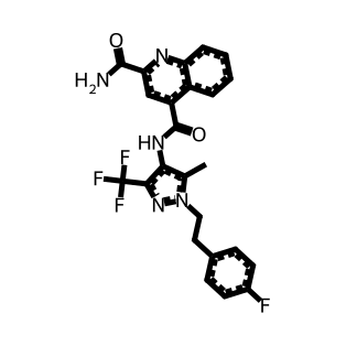 Cc1c(NC(=O)c2cc(C(N)=O)nc3ccccc23)c(C(F)(F)F)nn1CCc1ccc(F)cc1